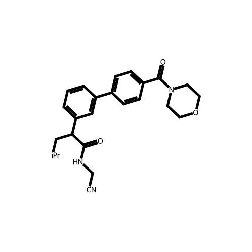 CC(C)CC(C(=O)NCC#N)c1cccc(-c2ccc(C(=O)N3CCOCC3)cc2)c1